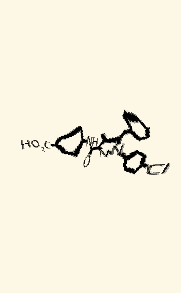 Cc1c(C(=O)Nc2ccc(C(=O)O)cc2)nn(-c2ccc(Cl)cc2)c1-c1ccccc1